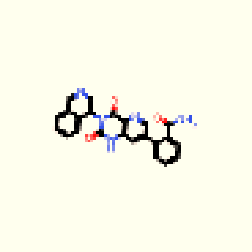 NC(=O)c1ccccc1-c1cnc2c(=O)n(-c3cncc4ccccc34)c(=O)[nH]c2c1